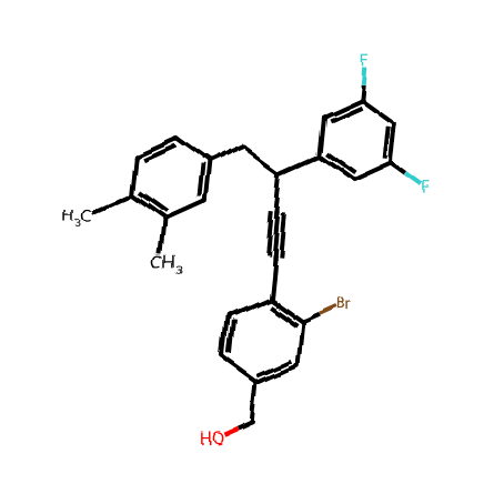 Cc1ccc(CC(C#Cc2ccc(CO)cc2Br)c2cc(F)cc(F)c2)cc1C